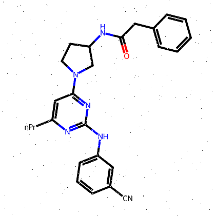 CCCc1cc(N2CCC(NC(=O)Cc3ccccc3)C2)nc(Nc2cccc(C#N)c2)n1